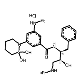 CCCNC[C@H](O)[C@H](Cc1ccccc1)NC(=O)c1cc(NCC)cc(N2CCCCS2(O)O)c1.Cl